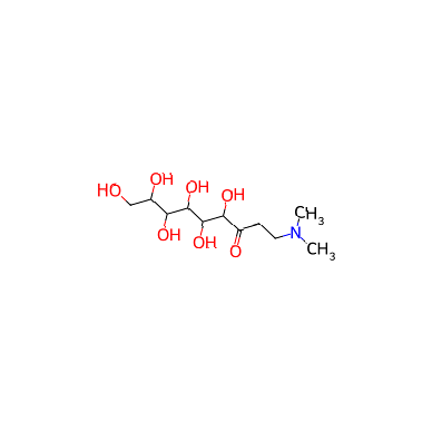 CN(C)CCC(=O)C(O)C(O)C(O)C(O)C(O)CO